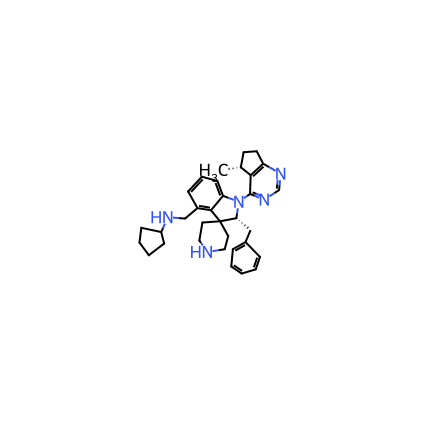 C[C@@H]1CCc2ncnc(N3c4cccc(CNC5CCCC5)c4C4(CCNCC4)[C@H]3Cc3ccccc3)c21